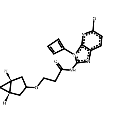 O=C(CCOC1C[C@@H]2C[C@@H]2C1)Nc1nc2ccc(Cl)nc2n1C1=CC=C1